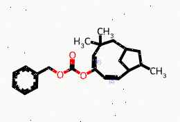 CC1CC2CC1/C=C\C(OC(=O)OCc1ccccc1)=C/C(C)(C)C2